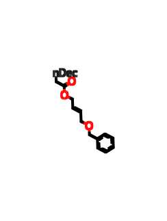 CCCCCCCCCCCC(=O)OCC=CCOCc1ccccc1